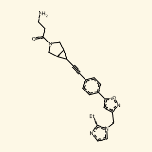 CCc1nccn1Cc1cc(-c2ccc(C#CC3C4CN(C(=O)CCN)CC34)cc2)on1